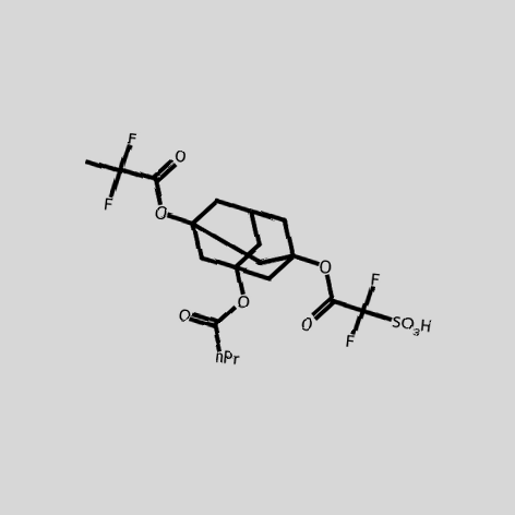 CCCC(=O)OC12CC3CC(OC(=O)C(C)(F)F)(C1)CC(OC(=O)C(F)(F)S(=O)(=O)O)(C3)C2